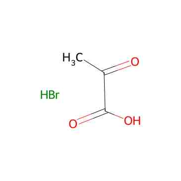 Br.CC(=O)C(=O)O